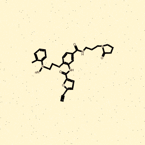 C#Cc1ccc(C(=O)Nc2cc(C(=O)NCCCN3CCCC3=O)ccc2CCCN(CCC)c2ccccc2C)o1